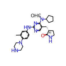 Cc1cc(Nc2ncc(C[C@@H]3CCNC3=O)c(N(C=O)C3CCCC3)n2)ccc1N1CCNCC1